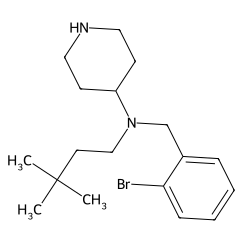 CC(C)(C)CCN(Cc1ccccc1Br)C1CCNCC1